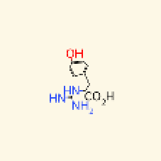 N=C(N)NC(Cc1ccc(O)cc1)C(=O)O